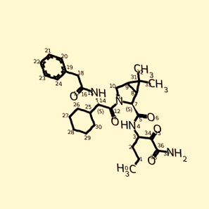 CCCC(NC(=O)[C@@H]1C2C(CN1C(=O)[C@@H](NC(=O)Cc1ccccc1)C1CCCCC1)C2(C)C)C(=O)C(N)=O